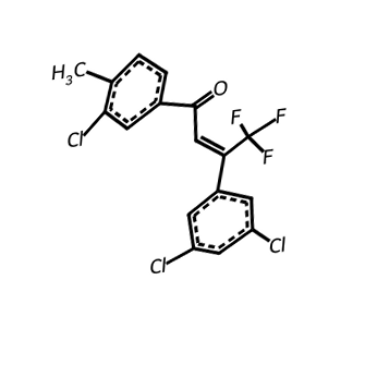 Cc1ccc(C(=O)C=C(c2cc(Cl)cc(Cl)c2)C(F)(F)F)cc1Cl